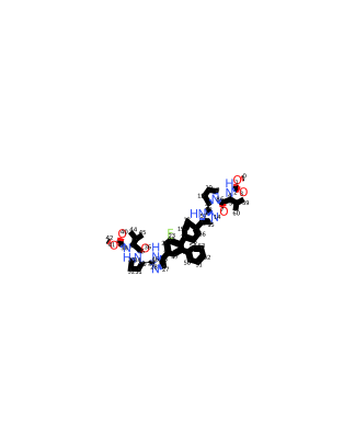 COC(=O)N[C@H](C(=O)N1CCC[C@H]1c1ncc(-c2ccc(-c3c(F)cc(-c4cnc([C@@H]5CCCN5C(=O)[C@@H](NC(=O)OC)C(C)C)[nH]4)cc3-c3ccccc3)cc2)[nH]1)C(C)C